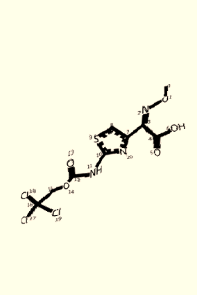 CON=C(C(=O)O)c1csc(NC(=O)OCC(Cl)(Cl)Cl)n1